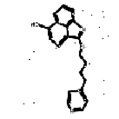 Oc1ccc2c3c(cccc13)N=C2NCCCCc1ccncc1